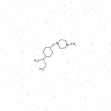 CCC(C)C1CCC(CN2CCN(C)CC2)CC1